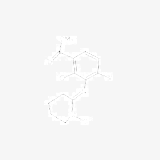 COC(=O)c1ccc(Br)c(N=C2CCCC[S+]2[O-])c1Cl